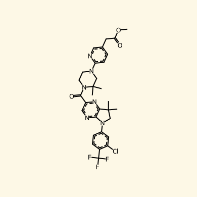 COC(=O)Cc1ccc(N2CCN(C(=O)c3cnc4c(n3)C(C)(C)CN4c3ccc(C(F)(F)F)c(Cl)c3)C(C)(C)C2)nc1